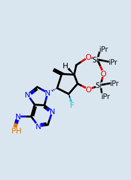 C=C1[C@@H](n2cnc3c(N=P)ncnc32)[C@H](F)C2O[Si](C(C)C)(C(C)C)O[Si](C(C)C)(C(C)C)OC[C@@H]12